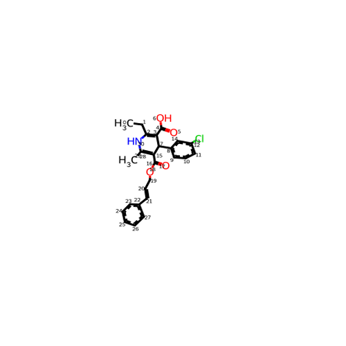 CCC1=C(C(=O)O)C(c2cccc(Cl)c2)C(C(=O)OC/C=C/c2ccccc2)=C(C)N1